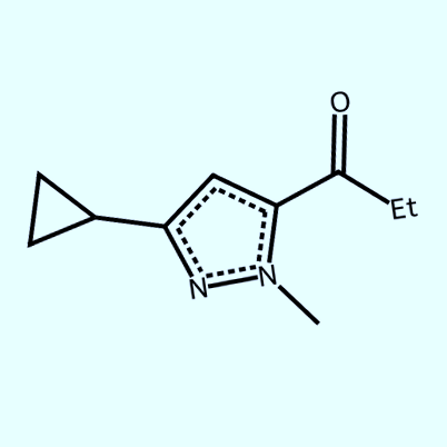 CCC(=O)c1cc(C2CC2)nn1C